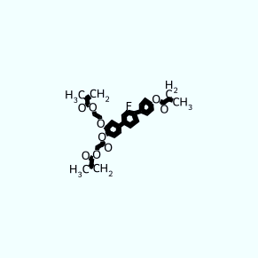 C=C(C)C(=O)OCCOc1cc(-c2ccc(-c3ccc(OC(=O)C(=C)C)cc3)c(F)c2)ccc1OC(=O)COC(=O)C(=C)C